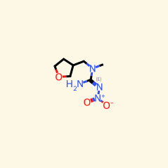 CN(CC1CCOC1)/C(N)=N/[N+](=O)[O-]